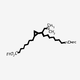 CCCCCCCCCCCCCCCCCC(CN(C)C)C1CC1CCCCCCCC(=O)OCC